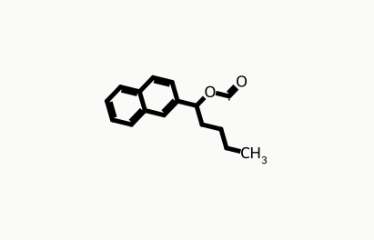 CCCCC(O[C]=O)c1ccc2ccccc2c1